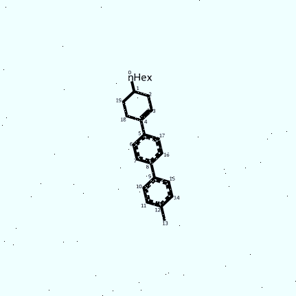 CCCCCCC1CC=C(c2ccc(-c3ccc(C)cc3)cc2)CC1